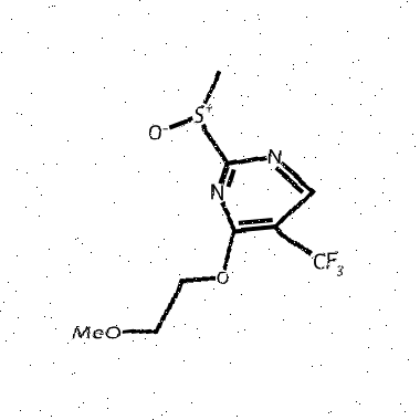 COCCOc1nc([S+](C)[O-])ncc1C(F)(F)F